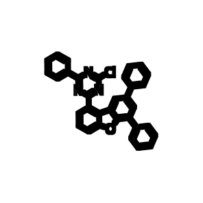 Clc1nc(-c2ccccc2)nc(-c2cccc3oc4c(-c5ccccc5)cc(-c5ccccc5)cc4c23)n1